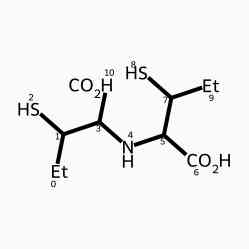 CCC(S)C(NC(C(=O)O)C(S)CC)C(=O)O